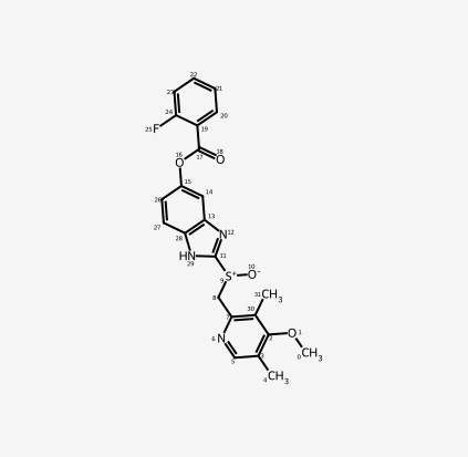 COc1c(C)cnc(C[S+]([O-])c2nc3cc(OC(=O)c4ccccc4F)ccc3[nH]2)c1C